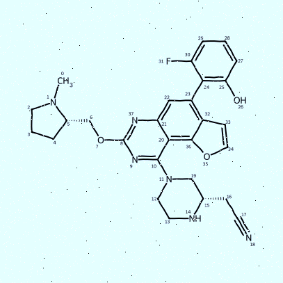 CN1CCC[C@H]1COc1nc(N2CCN[C@@H](CC#N)C2)c2c(cc(-c3c(O)cccc3F)c3ccoc32)n1